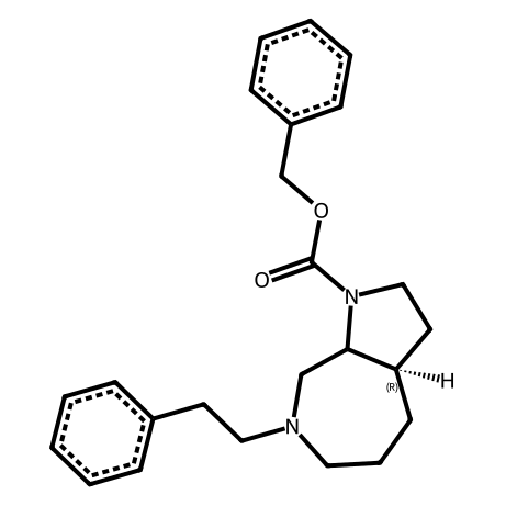 O=C(OCc1ccccc1)N1CC[C@H]2CCCN(CCc3ccccc3)CC21